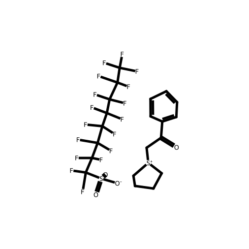 O=C(C[S+]1CCCC1)c1ccccc1.O=S(=O)([O-])C(F)(F)C(F)(F)C(F)(F)C(F)(F)C(F)(F)C(F)(F)C(F)(F)C(F)(F)F